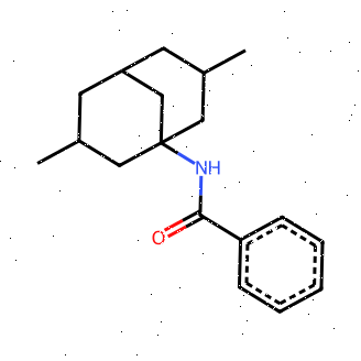 CC1CC2CC(C)CC(NC(=O)c3ccccc3)(C1)C2